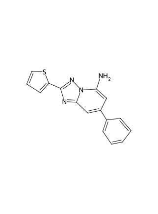 Nc1cc(-c2ccccc2)cc2nc(-c3cccs3)nn12